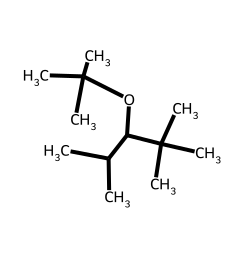 CC(C)C(OC(C)(C)C)C(C)(C)C